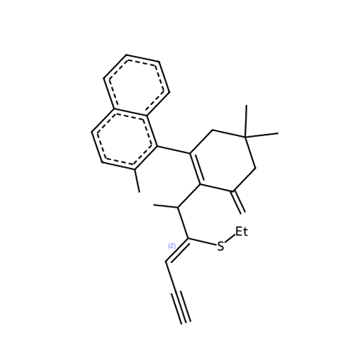 C#C/C=C(\SCC)C(C)C1=C(c2c(C)ccc3ccccc23)CC(C)(C)CC1=C